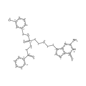 Nc1nc2c(ncn2CCOCCP(=O)(OCC(=O)c2ccccc2)OCc2cccc(Cl)c2)c(=O)[nH]1